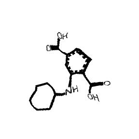 O=C(O)c1ccc(C(=O)O)c(NC2CCCCC2)c1